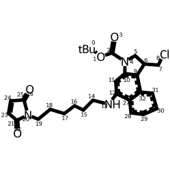 CC(C)(C)OC(=O)N1CC(CCl)c2c1cc(NCCCCCCN1C(=O)C=CC1=O)c1ccccc21